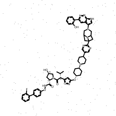 CC(C)[C@@H](C(=O)N1C[C@H](O)C[C@H]1C(=O)NOc1ccc(-c2ccccc2F)cc1)c1cc(O[C@H]2CC[C@H](N3CCC(c4cnc(C56CC7CN(c8c[nH]c9nnc(-c%10ccccc%10O)cc89)CC(C5)N76)nc4)CC3)CC2)no1